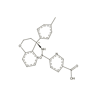 Cc1ccc([C@@]2(NC(=O)c3ccc(C(=O)O)cn3)CCOc3cccnc32)cc1